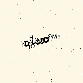 COc1ccc(Cc2cc(C(=O)Nc3ccncc3F)n[nH]2)c(C)c1